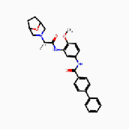 C[C@@H](C(=O)Nc1cc(NC(=O)c2ccc(-c3ccccc3)cc2)ccc1OC(F)(F)F)N1CC2CCC(C1)O2